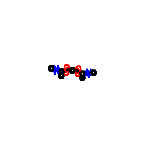 O=C(Oc1ccc(/N=N/c2ccccc2)c2ccccc12)c1ccc(C(=O)Oc2ccc(/N=N/c3ccccc3)c3ccccc23)cc1